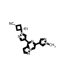 CC[C@]1(n2cc(-c3nc(-c4cnn(C)c4)cn4nccc34)cn2)C[C@H](C#N)C1